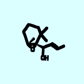 CC=CC(O)[C@]12O[C@@]1(C)CCCC2(C)C